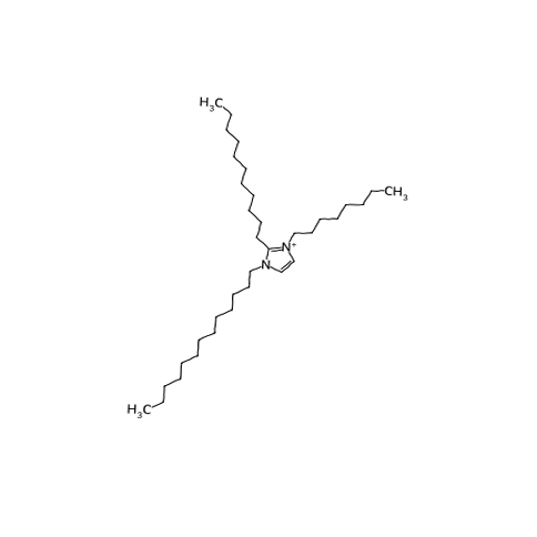 CCCCCCCCCCCCCn1cc[n+](CCCCCCCC)c1CCCCCCCCCCC